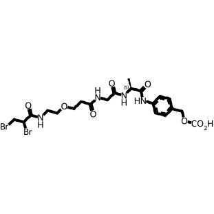 C[C@H](NC(=O)CNC(=O)CCOCCNC(=O)C(Br)CBr)C(=O)Nc1ccc(COC(=O)O)cc1